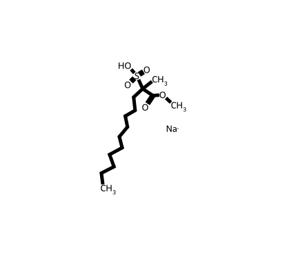 CCCCCCCCCCC(C)(C(=O)OC)S(=O)(=O)O.[Na]